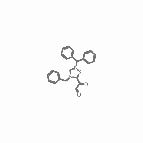 O=CC(=O)C1SN(C(c2ccccc2)c2ccccc2)CN1Cc1ccccc1